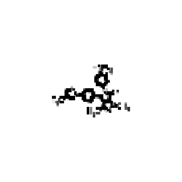 Cc1nn(C)c2c1C(c1ccc(-n3cc(C(F)(F)F)cn3)cc1)N(c1ccc3[nH]cnc3c1)C2=O